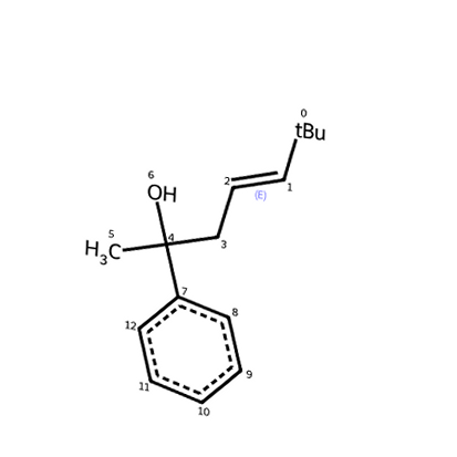 CC(C)(C)/C=C/CC(C)(O)c1ccccc1